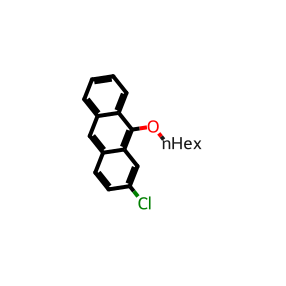 CCCCCCOc1c2ccccc2cc2ccc(Cl)cc12